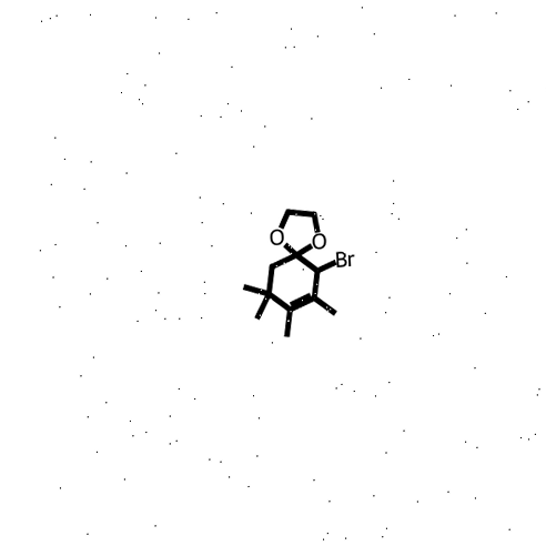 CC1=C(C)C(C)(C)CC2(OCCO2)C1Br